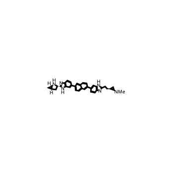 CN[C@@H]1C[C@@H]1CCc1nc2ccc(-c3ccc4cc(-c5ccc6nc([C@@H]7C[C@H]8C[C@H]8N7)[nH]c6c5)ccc4c3)cc2[nH]1